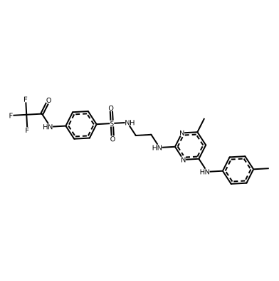 Cc1ccc(Nc2cc(C)nc(NCCNS(=O)(=O)c3ccc(NC(=O)C(F)(F)F)cc3)n2)cc1